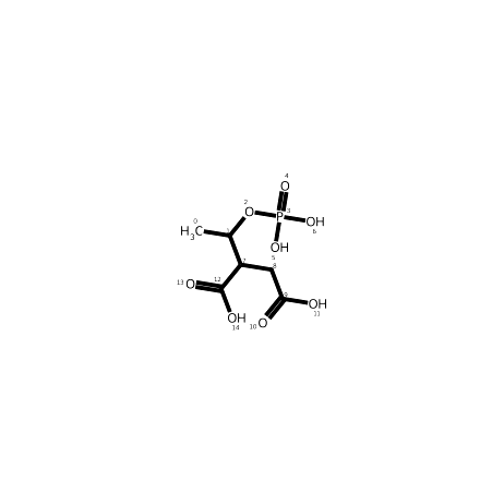 CC(OP(=O)(O)O)C(CC(=O)O)C(=O)O